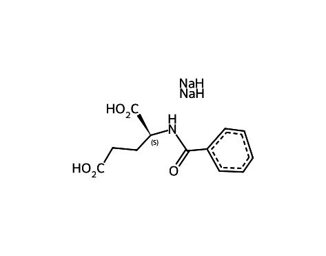 O=C(O)CC[C@H](NC(=O)c1ccccc1)C(=O)O.[NaH].[NaH]